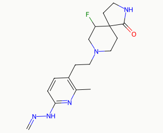 C=NNc1ccc(CCN2CCC3(CCNC3=O)C(F)C2)c(C)n1